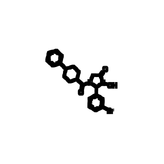 O=C1CN(C(=O)C2CCC(c3ccccc3)CC2)C(c2cccc(Br)c2)N1O